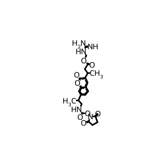 CC(CNC(=O)ON1C(=O)CCC1=O)c1ccc2cc(C(C)CC(=O)OCNC(=N)N)c(=O)oc2c1